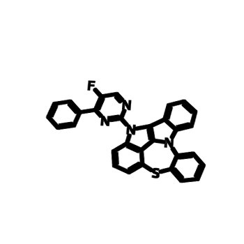 Fc1cnc(-n2c3cccc4sc5ccccc5n5c6ccccc6c2c5c43)nc1-c1ccccc1